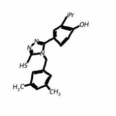 Cc1cc(C)cc(Cn2c(S)nnc2-c2ccc(O)c(C(C)C)c2)c1